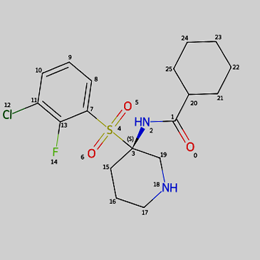 O=C(N[C@]1(S(=O)(=O)c2cccc(Cl)c2F)CCCNC1)C1CCCCC1